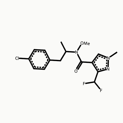 CON(C(=O)c1cn(C)nc1C(F)F)C(C)Cc1ccc(Cl)cc1